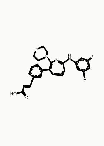 O=C(O)/C=C/c1cccc(C2=C(N3CCOCC3)N=C(Nc3cc(F)cc(F)c3)C=C=C2)c1